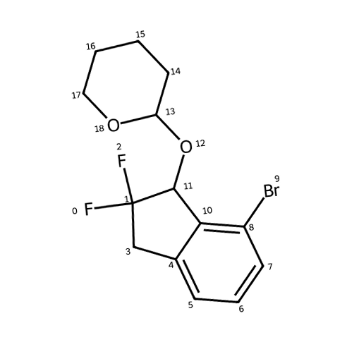 FC1(F)Cc2cccc(Br)c2C1OC1CCCCO1